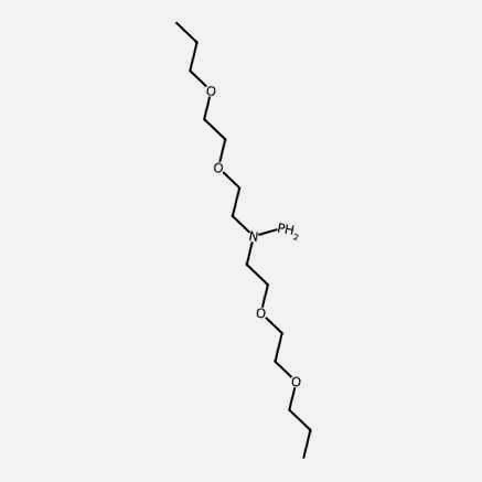 CCCOCCOCCN(P)CCOCCOCCC